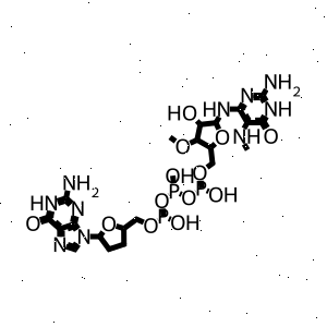 CNc1c(NC2OC(COP(O)OP(O)OP(O)OCC3CCC(n4cnc5c(=O)[nH]c(N)nc54)O3)C(OC)C2O)nc(N)[nH]c1=O